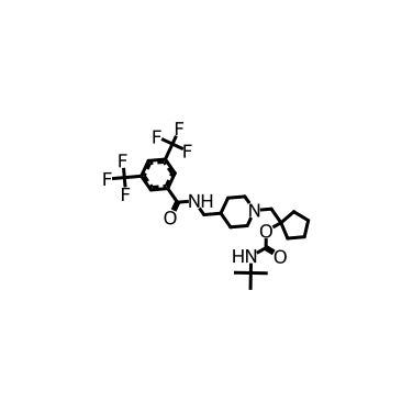 CC(C)(C)NC(=O)OC1(CN2CCC(CNC(=O)c3cc(C(F)(F)F)cc(C(F)(F)F)c3)CC2)CCCC1